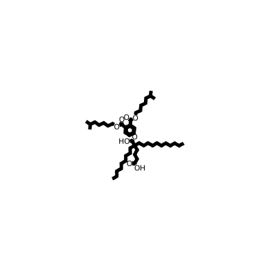 CC(C)CCCCCOC(=O)c1ccccc1C(=O)OCCCCCC(C)C.CCCCCCCCCCCC(CCCCCCCCC)(CCCC(=O)O)C(=O)O